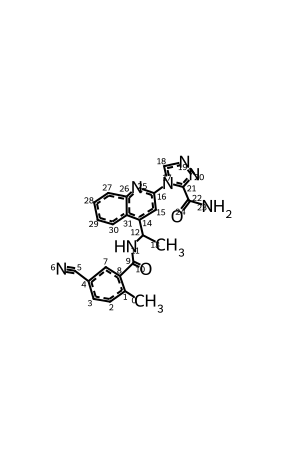 Cc1ccc(C#N)cc1C(=O)NC(C)c1cc(-n2cnnc2C(N)=O)nc2ccccc12